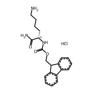 Cl.NCCCC[C@H](NC(=O)OCC1c2ccccc2-c2ccccc21)C(N)=O